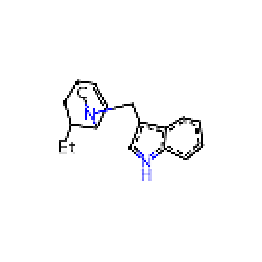 CCC1CC2C=CC1N(Cc1c[nH]c3ccccc13)C2